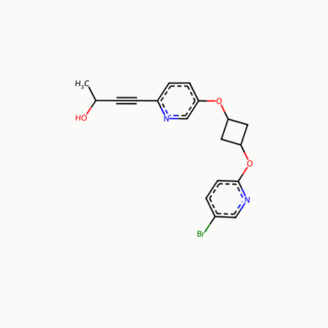 CC(O)C#Cc1ccc(OC2CC(Oc3ccc(Br)cn3)C2)cn1